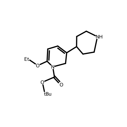 CCOC1=CC=C(C2CCNCC2)CN1C(=O)OC(C)(C)C